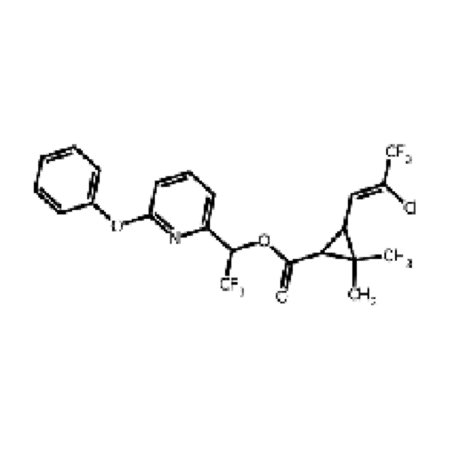 CC1(C)C(/C=C(\Cl)C(F)(F)F)C1C(=O)OC(c1cccc(Oc2ccccc2)n1)C(F)(F)F